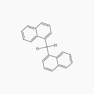 [CH2]CC(CC)(c1cccc2ccccc12)c1cccc2ccccc12